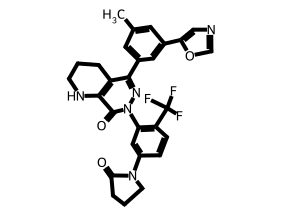 Cc1cc(-c2cnco2)cc(-c2nn(-c3cc(N4CCCC4=O)ccc3C(F)(F)F)c(=O)c3c2CCCN3)c1